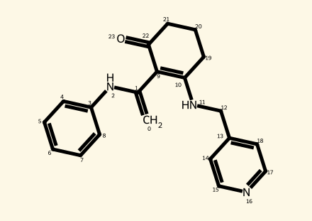 C=C(Nc1ccccc1)C1=C(NCc2ccncc2)CCCC1=O